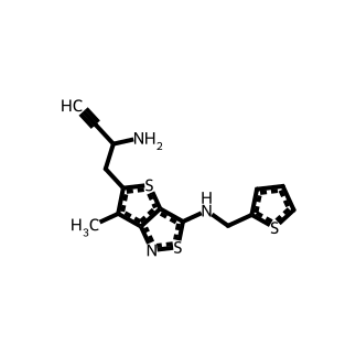 C#CC(N)Cc1sc2c(NCc3cccs3)snc2c1C